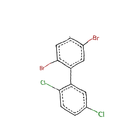 Clc1ccc(Cl)c(-c2cc(Br)[c]cc2Br)c1